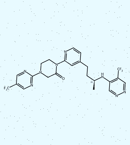 C[C@@H](CCc1ccnc(N2CCN(c3ncc(C(F)(F)F)cn3)CC2=O)c1)Nc1cnncc1C(F)(F)F